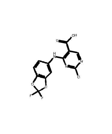 O=C(O)c1cnc(Cl)nc1Nc1ccc2c(c1)OC(F)(F)O2